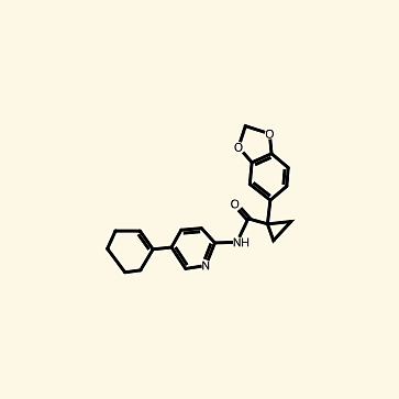 O=C(Nc1ccc(C2=CCCCC2)cn1)C1(c2ccc3c(c2)OCO3)CC1